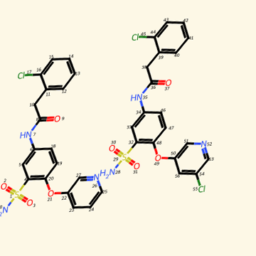 NS(=O)(=O)c1cc(NC(=O)Cc2ccccc2Cl)ccc1Oc1cccnc1.NS(=O)(=O)c1cc(NC(=O)Cc2ccccc2Cl)ccc1Oc1cncc(Cl)c1